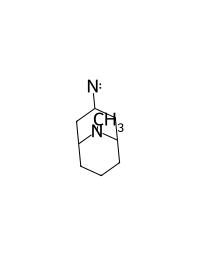 CN1C2CCCC1CC([N])C2